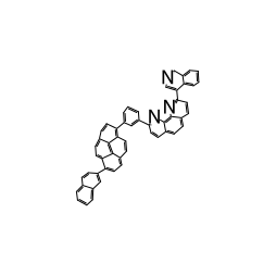 c1cc(-c2ccc3ccc4ccc(-c5cncc6ccccc56)nc4c3n2)cc(-c2ccc3ccc4c(-c5ccc6ccccc6c5)ccc5ccc2c3c54)c1